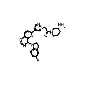 N[C@@H]1CCCN(C(=O)Cn2cc(-c3ccc4ncnc(N5CCc6cc(F)ccc65)c4n3)cn2)C1